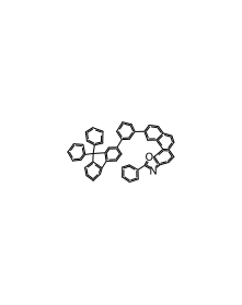 c1ccc(-c2nc3ccc4ccc5ccc(-c6cccc(-c7ccc8c(c7)C(c7ccccc7)(c7ccccc7)c7ccccc7-8)c6)cc5c4c3o2)cc1